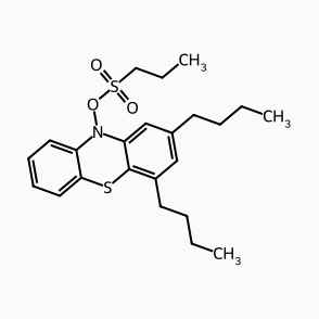 CCCCc1cc(CCCC)c2c(c1)N(OS(=O)(=O)CCC)c1ccccc1S2